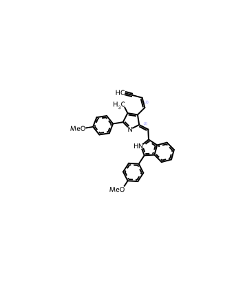 C#C/C=C\C1=C(C)C(c2ccc(OC)cc2)=N/C1=C\c1[nH]c(-c2ccc(OC)cc2)c2ccccc12